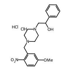 COc1ccc([N+](=O)[O-])c(CN2CCN(CC(O)c3ccccc3)CC2)c1.Cl.Cl